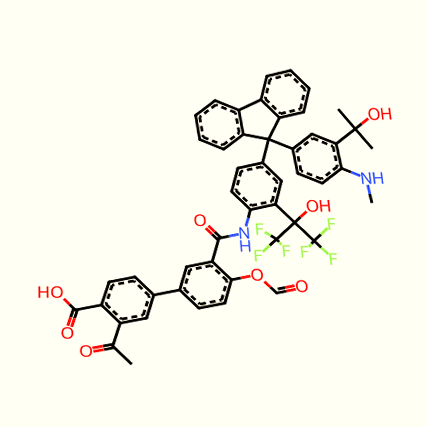 CNc1ccc(C2(c3ccc(NC(=O)c4cc(-c5ccc(C(=O)O)c(C(C)=O)c5)ccc4OC=O)c(C(O)(C(F)(F)F)C(F)(F)F)c3)c3ccccc3-c3ccccc32)cc1C(C)(C)O